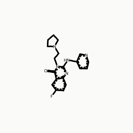 O=c1c2cc(F)ccc2nc(Nc2cccnc2)n1CCN1CCCC1